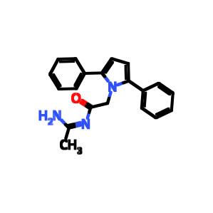 C/C(N)=N/C(=O)Cn1c(-c2ccccc2)ccc1-c1ccccc1